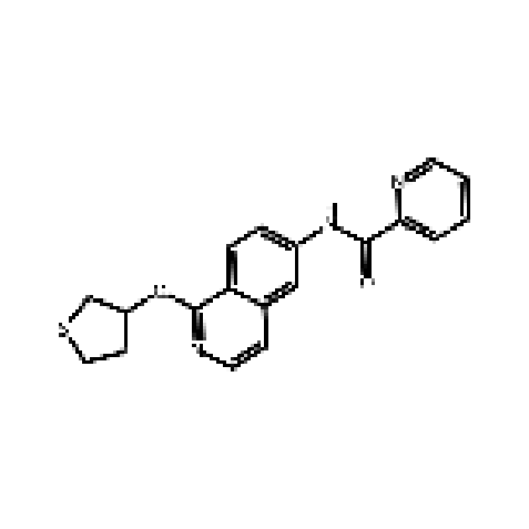 O=C(Nc1ccc2c(OC3CCSC3)nccc2c1)c1ccccn1